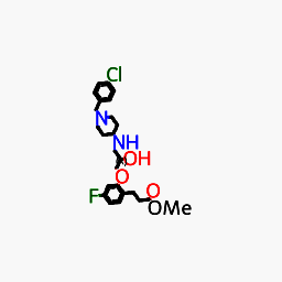 COC(=O)CCc1ccc(F)cc1OC[C@H](O)CNC1CCN(Cc2ccc(Cl)cc2)CC1